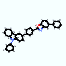 c1ccc(-c2ccc3oc(-c4ccc(-c5ccc6c(c5)c5ccccc5n6-c5ccccc5)cc4)nc3c2)cc1